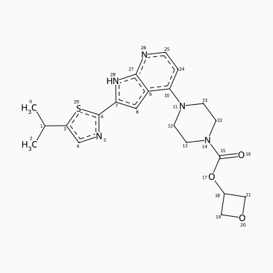 CC(C)c1cnc(-c2cc3c(N4CCN(C(=O)OC5COC5)CC4)ccnc3[nH]2)s1